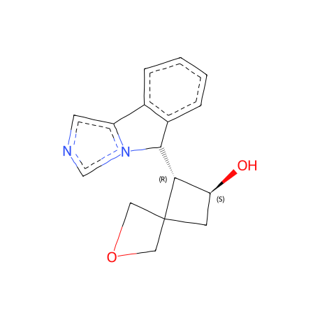 O[C@H]1CC2(COC2)[C@@H]1C1c2ccccc2-c2cncn21